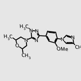 COc1cc(-c2nc(N3CC(C)OC(C)C3)n(C)n2)ccc1-n1cnc(C)c1